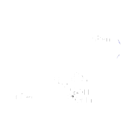 CCCCC/C=C\C/C=C\CCCCCCCC(=O)O[C@H](COC(=O)CCCCCCCCCCCCCCC)COP(=O)(O)OCCC